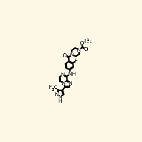 CC(C)(C)OC(=O)N1CCN(C(=O)c2ccc(Nc3nccn4c(-c5c[nH]nc5C(F)(F)F)cnc34)cc2F)CC1